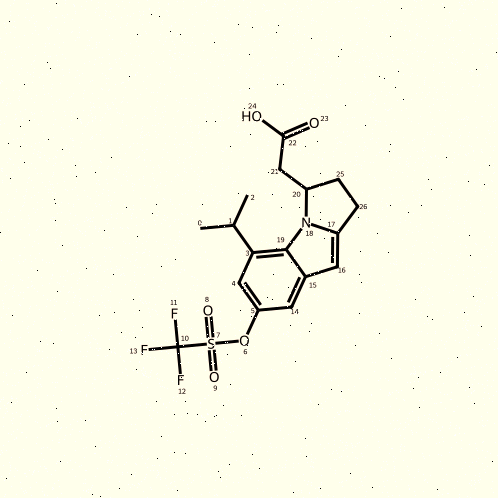 CC(C)c1cc(OS(=O)(=O)C(F)(F)F)cc2cc3n(c12)C(CC(=O)O)CC3